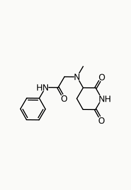 CN(CC(=O)Nc1ccccc1)C1CCC(=O)NC1=O